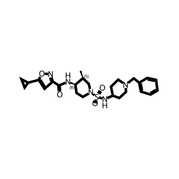 C[C@H]1CN(S(=O)(=O)NC2CCN(Cc3ccccc3)CC2)CC[C@H]1NC(=O)c1cc(C2CC2)on1